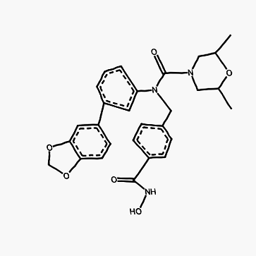 CC1CN(C(=O)N(Cc2ccc(C(=O)NO)cc2)c2cccc(-c3ccc4c(c3)OCO4)c2)CC(C)O1